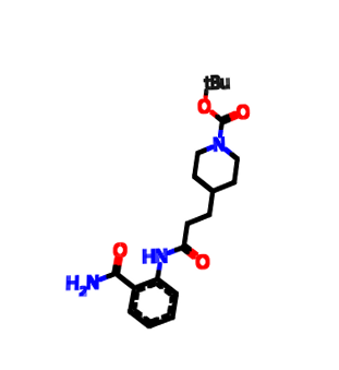 CC(C)(C)OC(=O)N1CCC(CCC(=O)Nc2ccccc2C(N)=O)CC1